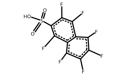 O=S(=O)(O)c1c(F)c(F)c2c(F)c(F)c(F)c(F)c2c1F